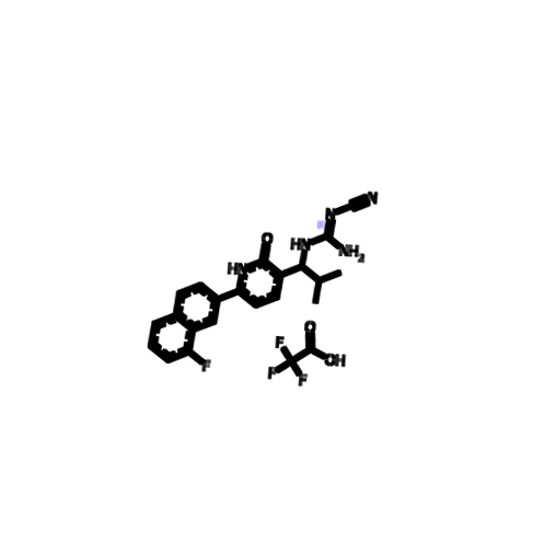 CC(C)C(N/C(N)=N/C#N)c1ccc(-c2ccc3cccc(F)c3c2)[nH]c1=O.O=C(O)C(F)(F)F